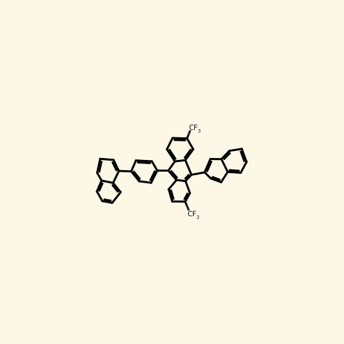 FC(F)(F)c1ccc2c(-c3ccc(-c4cccc5ccccc45)cc3)c3ccc(C(F)(F)F)cc3c(-c3ccc4ccccc4c3)c2c1